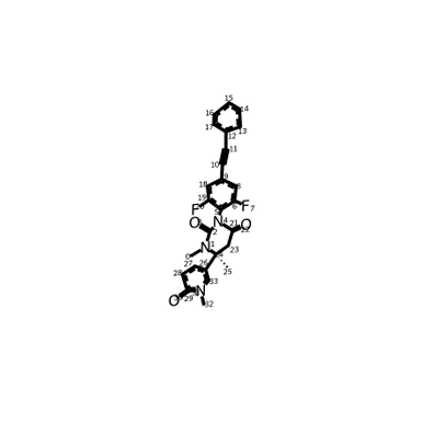 CN1C(=O)N(c2c(F)cc(C#Cc3ccccc3)cc2F)C(=O)C[C@@]1(C)c1ccc(=O)n(C)c1